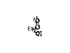 CCN(Cc1ccnc(C)c1)[C@H]1CCCN(c2ccc(C)nc2)C1